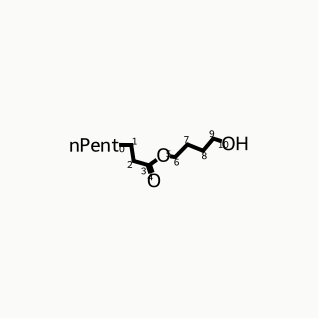 CCCCCCCC(=O)OCCCCO